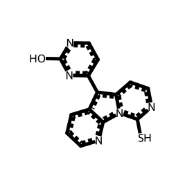 Oc1nccc(-c2c3cccnc3n3c(S)nccc23)n1